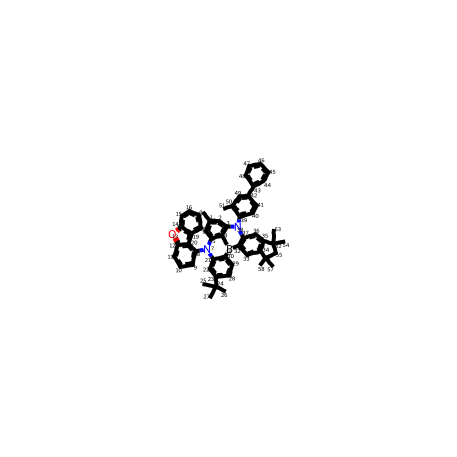 Cc1cc2c3c(c1)N(c1cccc4oc5ccccc5c14)c1cc(C(C)(C)C)ccc1B3c1cc3c(cc1N2c1ccc(-c2ccccc2)cc1C)C(C)(C)CC3(C)C